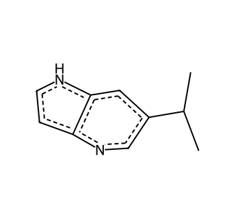 CC(C)c1cnc2cc[nH]c2c1